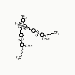 COc1cc(C(=O)Oc2ccc(/C=C/C(=O)CC(c3ccc(N)cc3N)C(O)(O)C(=O)/C=C/c3ccc(OC(=O)c4ccc(OCCCCC(F)(F)F)c(OC)c4)cc3)cc2)ccc1OCCCCC(F)(F)F